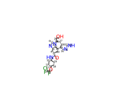 Cc1nc2cc(C(=O)Nc3ccc(OC(F)(F)Cl)cc3)cc3c2n1[C@@H](CO)CC=C3/C=N\C=N